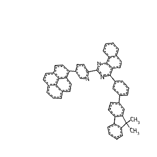 CC1(C)c2ccccc2-c2ccc(-c3cccc(-c4nc(-c5ccc(-c6ccc7ccc8cccc9ccc6c7c89)cn5)nc5c4ccc4ccccc45)c3)cc21